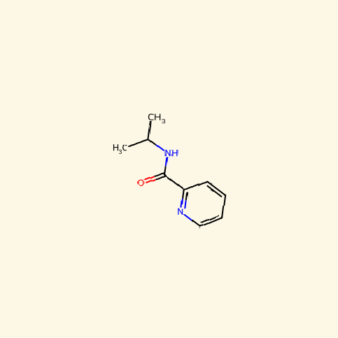 CC(C)NC(=O)c1ccc[c]n1